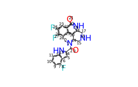 CN(C(=O)c1cc2c(F)cccc2[nH]1)[C@@H]1CNCc2[nH]c(=O)c3cc(F)c(F)cc3c21